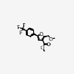 COCc1oc(-c2ccc(C(F)(F)F)cc2)cc1C(=O)OC